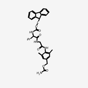 Cc1cc(COC(N)=O)cc(C)c1NC(=O)CNC(=O)C(NC(=O)OCC1c2ccccc2-c2ccccc21)C(C)C